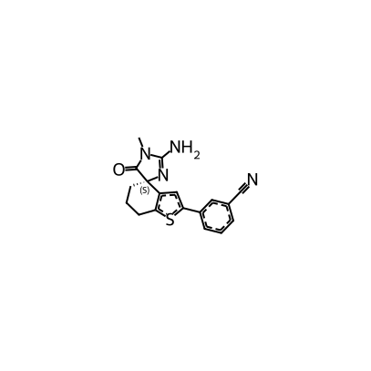 CN1C(=O)[C@@]2(CCCc3sc(-c4cccc(C#N)c4)cc32)N=C1N